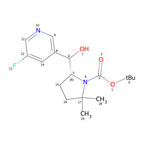 CC(C)(C)OC(=O)N1[C@@H](C(O)c2cncc(F)c2)CCC1(C)C